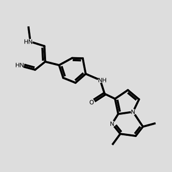 CN/C=C(\C=N)c1ccc(NC(=O)c2ccn3c(C)cc(C)nc23)cc1